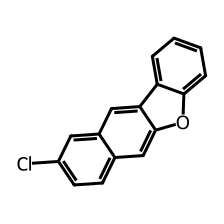 Clc1ccc2cc3oc4ccccc4c3cc2c1